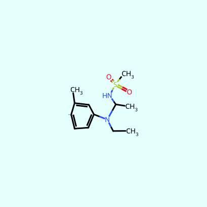 CCN(c1cc[c]c(C)c1)C(C)NS(C)(=O)=O